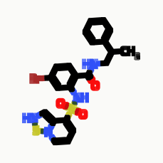 CC(CNC(=O)c1ccc(Br)cc1NS(=O)(=O)C1=CC=CN2SNC=C12)c1ccccc1